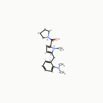 CN(C)c1ccccc1Cc1ccc(C(=O)N2CCCC2)n1C